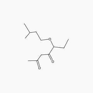 CCC(OCCC(C)C)C(=O)CC(C)=O